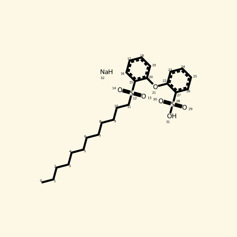 CCCCCCCCCCCCS(=O)(=O)c1ccccc1Oc1ccccc1S(=O)(=O)O.[NaH]